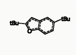 CC(C)(C)c1ccc2oc(C(C)(C)C)cc2c1